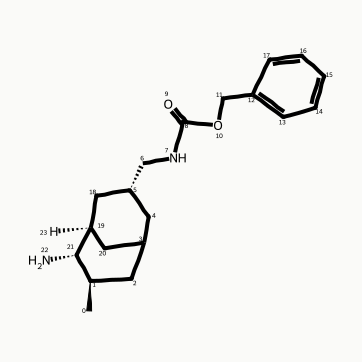 C[C@@H]1CC2C[C@@H](CNC(=O)OCc3ccccc3)C[C@@H](C2)[C@H]1N